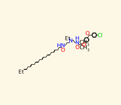 CCC=CCC=CCC=CCC=CCC=CCC=CCCC(=O)NCCCN(CC)CCNC(=O)C(C)(C)Oc1ccc(C(=O)c2ccc(Cl)cc2)cc1